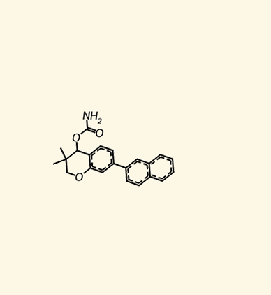 CC1(C)COc2cc(-c3ccc4ccccc4c3)ccc2C1OC(N)=O